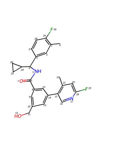 Cc1cc(C(NC(=O)c2cc(CO)cc(-c3cnc(F)cc3C)c2)C2CC2)ccc1F